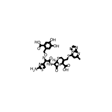 Cc1cc(SCC2=C(C(=O)O)N3C(=O)[C@@H](NC(=O)/C(=N\OCc4cc(O)c(O)cc4C(=O)O)c4csc(N)n4)[C@H]3SC2)n2ncnc2n1